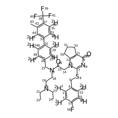 [2H]c1c([2H])c(CSc2nc(=O)c3c(n2CC(=O)N(CCN(CC)CC)Cc2c([2H])c([2H])c(-c4c([2H])c([2H])c(C(F)(F)F)c(C)c4[2H])c([2H])c2[2H])CCC3)c([2H])c([2H])c1F